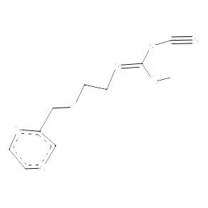 CS/C(=N\CCSCc1cnccn1)NC#N